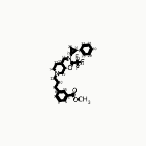 COC(=O)c1cccc(CCCN2CCC(CN(C(=O)C(F)(F)F)C3C[C@@H]3c3ccccc3)CC2)c1